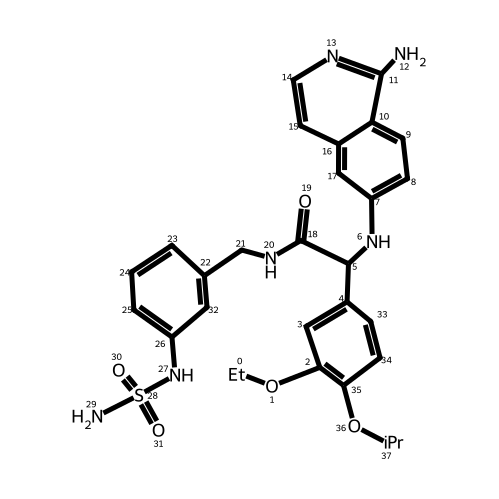 CCOc1cc(C(Nc2ccc3c(N)nccc3c2)C(=O)NCc2cccc(NS(N)(=O)=O)c2)ccc1OC(C)C